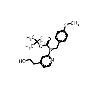 COc1ccc(CN(C(=O)OC(C)(C)C)c2cc(CCO)ccn2)cc1